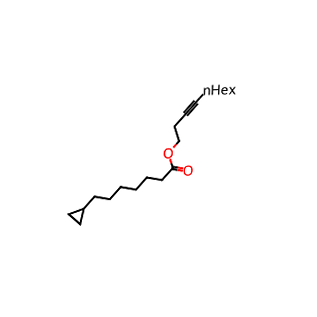 CCCCCCC#CCCOC(=O)CCCCCCC1CC1